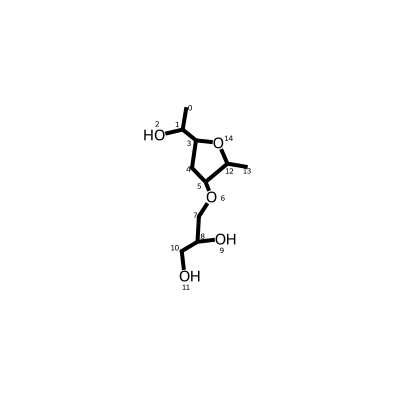 CC(O)C1CC(OCC(O)CO)C(C)O1